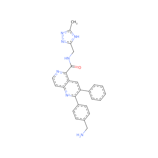 Cc1nnc(CNC(=O)c2nccc3nc(-c4ccc(CN)cc4)c(-c4ccccc4)cc23)[nH]1